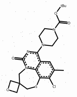 Cc1cc2c(N3CCN(C(=O)OC(C)(C)C)CC3)nc(=O)n3c2c(c1Cl)SCC1(COC1)C3